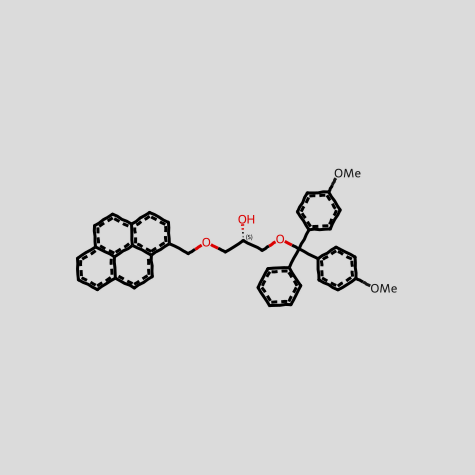 COc1ccc(C(OC[C@@H](O)COCc2ccc3ccc4cccc5ccc2c3c45)(c2ccccc2)c2ccc(OC)cc2)cc1